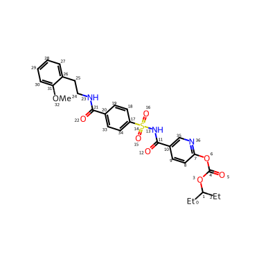 CCC(CC)OC(=O)Oc1ccc(C(=O)NS(=O)(=O)c2ccc(C(=O)NCCc3ccccc3OC)cc2)cn1